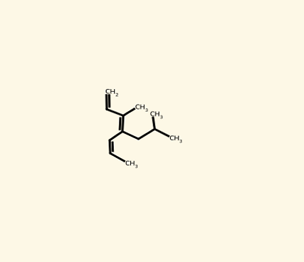 C=C/C(C)=C(\C=C/C)CC(C)C